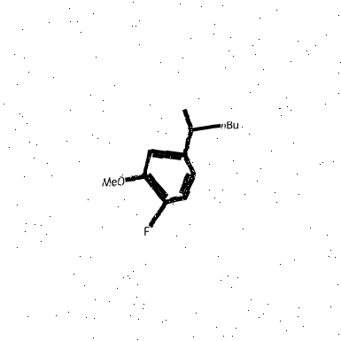 CCCCC(C)c1ccc(F)c(OC)c1